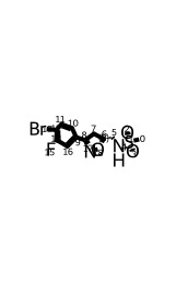 CS(=O)(=O)NC[C@H]1CC(c2ccc(Br)c(F)c2)=NO1